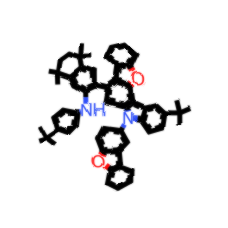 CC(C)(C)c1ccc(Nc2cc3c(cc2-c2cc4c(c5cc(C(C)(C)C)ccc5n4-c4ccc5oc6ccccc6c5c4)c4oc5ccccc5c24)C(C)(C)CCC3(C)C)cc1